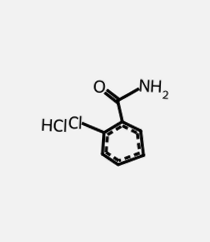 Cl.NC(=O)c1ccccc1Cl